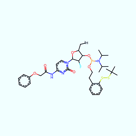 [2H]CC1OC(n2ccc(NC(=O)COc3ccccc3)nc2=O)C(F)C1OP(OCCc1ccccc1SSC(C)(C)C)N(C(C)C)C(C)C